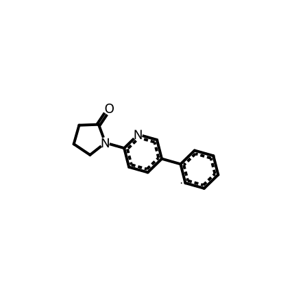 O=C1CCCN1c1ccc(-c2[c]cccc2)cn1